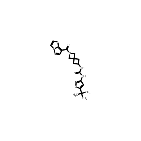 CC(C)(C)c1cc(NC(=O)NC2CC3(C2)CN(C(=O)c2cnn4ccsc24)C3)no1